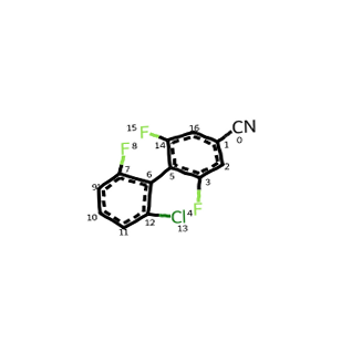 N#Cc1cc(F)c(-c2c(F)[c]ccc2Cl)c(F)c1